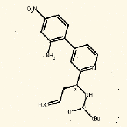 C=CC[C@H](N[S+]([O-])C(C)(C)C)c1cc(-c2ccc([N+](=O)[O-])cc2N)ccn1